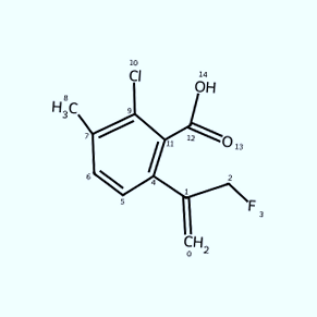 C=C(CF)c1ccc(C)c(Cl)c1C(=O)O